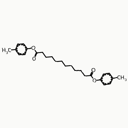 Cc1ccc(OC(=O)CCCCCCCCCCC(=O)Oc2ccc(C)cc2)cc1